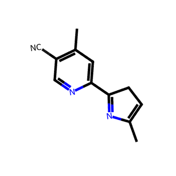 CC1=CCC(c2cc(C)c(C#N)cn2)=N1